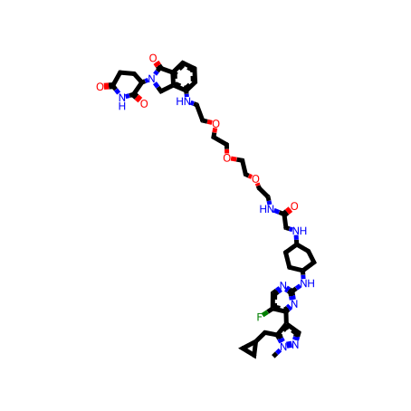 Cn1ncc(-c2nc(NC3CCC(NCC(=O)NCCOCCOCCOCCNc4cccc5c4CN(C4CCC(=O)NC4=O)C5=O)CC3)ncc2F)c1CC1CC1